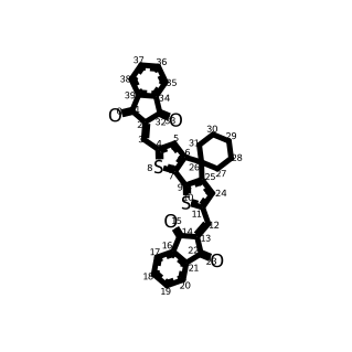 O=C1C(=Cc2cc3c(s2)-c2sc(C=C4C(=O)c5ccccc5C4=O)cc2C32CCCCC2)C(=O)c2ccccc21